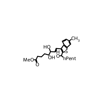 CCCCCC(O)c1sc2cc(C)ccc2c1/C=C/C(O)C(O)CCCC(=O)OC